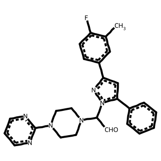 Cc1cc(-c2cc(-c3ccccc3)n(C(C=O)N3CCN(c4ncccn4)CC3)n2)ccc1F